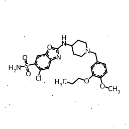 CCCOc1cc(CN2CCC(Nc3nc4cc(Cl)c(S(N)(=O)=O)cc4o3)CC2)ccc1OC